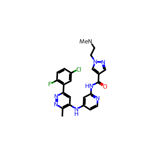 CNCCn1cc(C(=O)Nc2cc(Nc3cc(-c4cc(Cl)ccc4F)nnc3C)ccn2)cn1